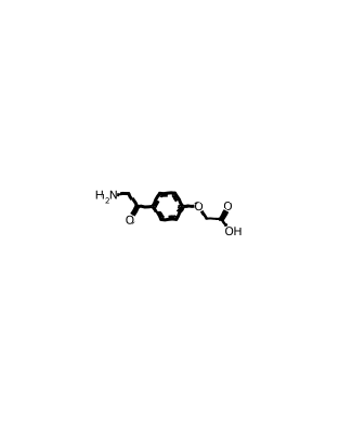 NCC(=O)c1ccc(OCC(=O)O)cc1